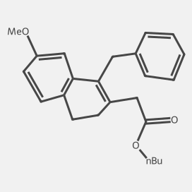 CCCCOC(=O)CC1=C(Cc2ccccc2)c2cc(OC)ccc2CC1